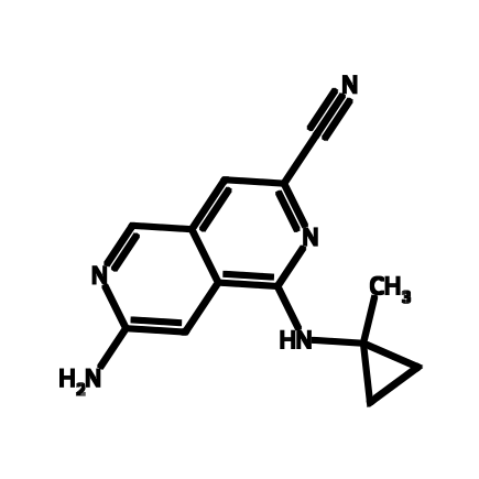 CC1(Nc2nc(C#N)cc3cnc(N)cc23)CC1